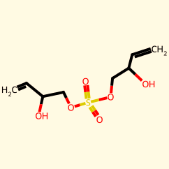 C=CC(O)COS(=O)(=O)OCC(O)C=C